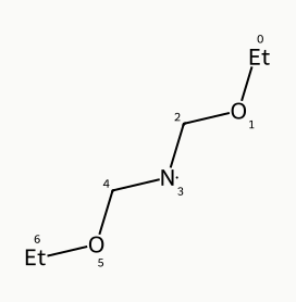 CCOC[N]COCC